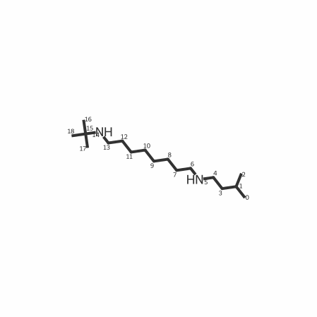 CC(C)CCNCCCCCCCCNC(C)(C)C